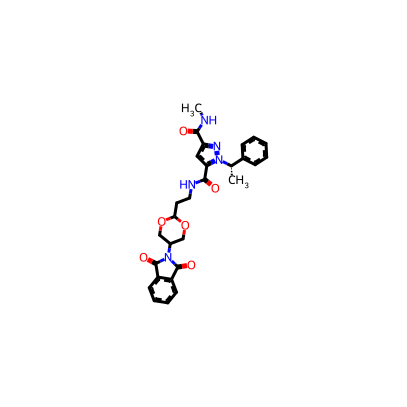 CNC(=O)c1cc(C(=O)NCCC2OCC(N3C(=O)c4ccccc4C3=O)CO2)n([C@@H](C)c2ccccc2)n1